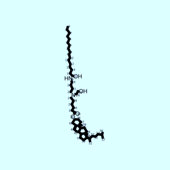 CCCCCCCCCCCCCCCCC(O)NCCCCN(CCO)CCCCCC(=O)OC1CCC2(C)C(=CCC3C2CCC2(C)C(C(C)CCCC(C)C)CCC32)C1